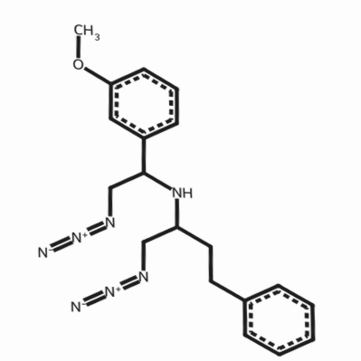 COc1cccc(C(CN=[N+]=[N-])NC(CCc2ccccc2)CN=[N+]=[N-])c1